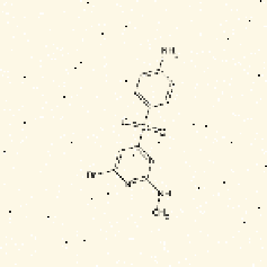 CNc1nc(Br)cc(S(=O)(=O)c2ccc(N)cc2)n1